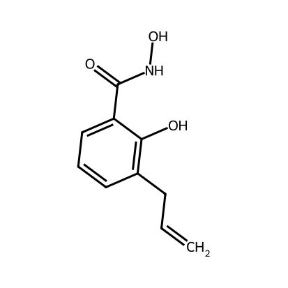 C=CCc1cccc(C(=O)NO)c1O